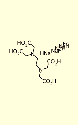 O=C(O)CN(CCN(CC(=O)O)CC(=O)O)CC(=O)O.[Fe].[NaH].[NaH].[NaH].[NaH]